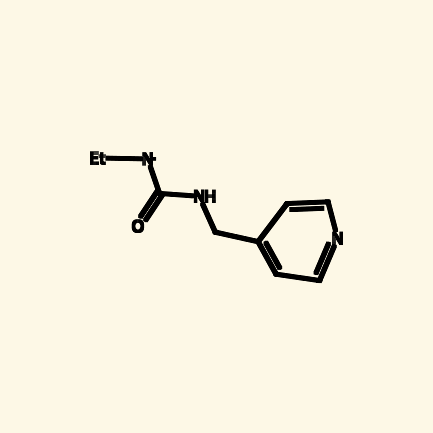 CC[N]C(=O)NCc1ccncc1